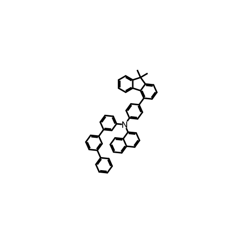 CC1(C)c2ccccc2-c2c(-c3ccc(N(c4cccc(-c5cccc(-c6ccccc6)c5)c4)c4cccc5ccccc45)cc3)cccc21